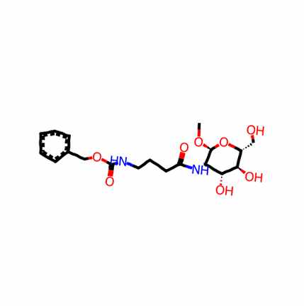 CO[C@H]1O[C@H](CO)[C@@H](O)[C@H](O)[C@H]1NC(=O)CCCNC(=O)OCc1ccccc1